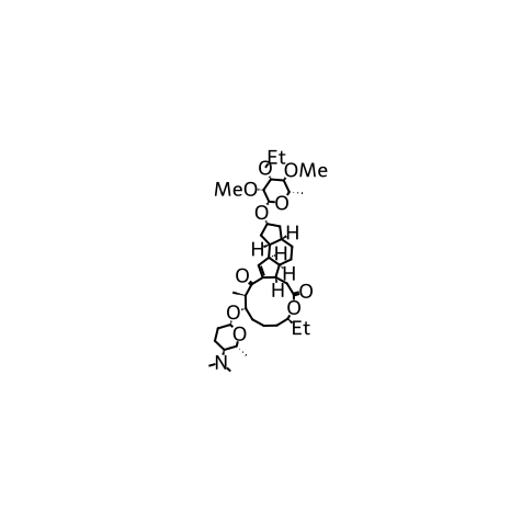 CCO[C@@H]1[C@@H](OC)[C@H](C)O[C@@H](O[C@@H]2C[C@@H]3CC[C@@H]4[C@@H](C=C5C(=O)[C@H](C)[C@@H](O[C@H]6CC[C@H](N(C)C)[C@@H](C)O6)CCC[C@H](CC)OC(=O)C[C@H]54)[C@@H]3C2)[C@@H]1OC